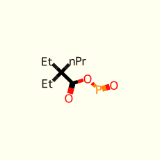 CCCC(CC)(CC)C(=O)OP=O